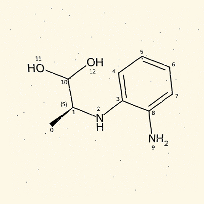 C[C@H](Nc1c[c]ccc1N)C(O)O